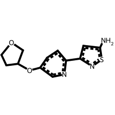 Nc1cc(-c2ccc(OC3CCOC3)cn2)ns1